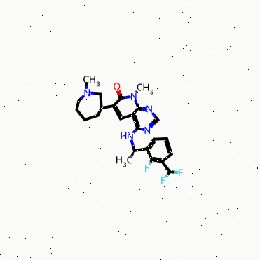 C[C@@H](Nc1ncnc2c1cc(C1CCCCN(C)C1)c(=O)n2C)c1cccc(C(F)F)c1F